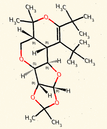 CC1(C)O[C@H]2O[C@H]3[C@H](OC[C@H]4[C@@H]3C(C(C)(C)C)=C(C(C)(C)C)OC4(C)C)[C@H]2O1